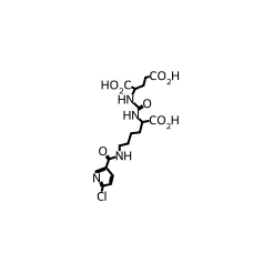 O=C(O)CCC(NC(=O)NC(CCCCNC(=O)c1ccc(Cl)nc1)C(=O)O)C(=O)O